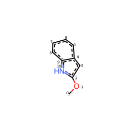 [CH2]Oc1cc2ccccc2[nH]1